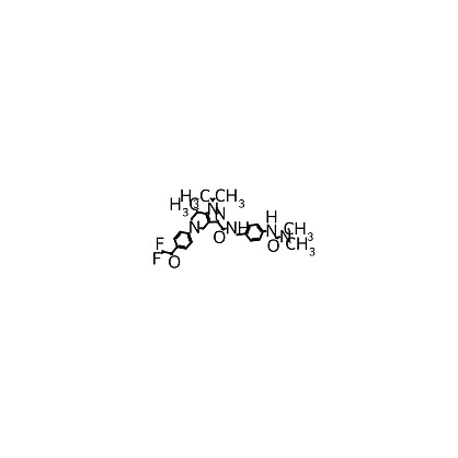 CC(C)n1nc(C(=O)NCc2ccc(NC(=O)N(C)C)cc2)c2c1[C@@H](C)CN(c1ccc(C(=O)C(F)F)cc1)C2